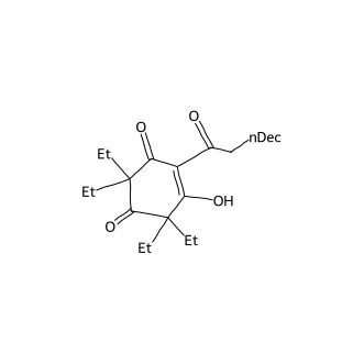 CCCCCCCCCCCC(=O)C1=C(O)C(CC)(CC)C(=O)C(CC)(CC)C1=O